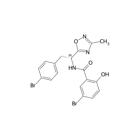 Cc1noc([C@@H](Cc2ccc(Br)cc2)NC(=O)c2cc(Br)ccc2O)n1